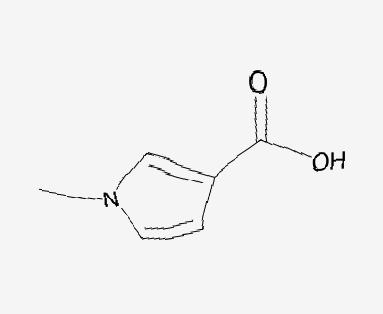 Cn1ccc(C(=O)O)c1